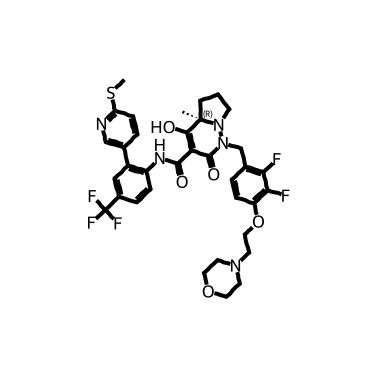 CSc1ccc(-c2cc(C(F)(F)F)ccc2NC(=O)C2=C(O)[C@@]3(C)CCCN3N(Cc3ccc(OCCN4CCOCC4)c(F)c3F)C2=O)cn1